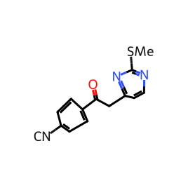 [C-]#[N+]c1ccc(C(=O)Cc2ccnc(SC)n2)cc1